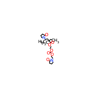 CCC(C)(CC(C)N1CCCC1=O)C(=O)OCCOC(=O)OCCN1CCCC1=O